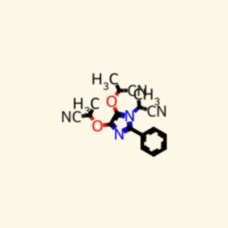 CC(C#N)Oc1nc(-c2ccccc2)n(C(C)C#N)c1OC(C)C#N